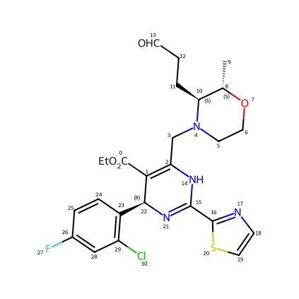 CCOC(=O)C1=C(CN2CCO[C@@H](C)[C@@H]2CCC=O)NC(c2nccs2)=N[C@H]1c1ccc(F)cc1Cl